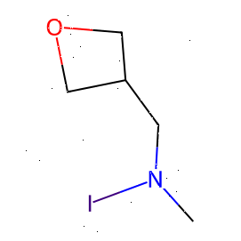 CN(I)CC1COC1